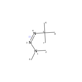 CN(C)/N=N\C(C)(C)C